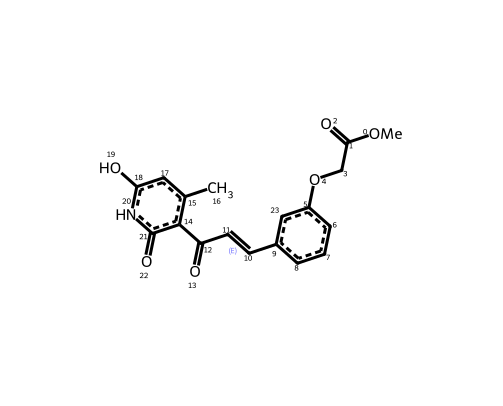 COC(=O)COc1cccc(/C=C/C(=O)c2c(C)cc(O)[nH]c2=O)c1